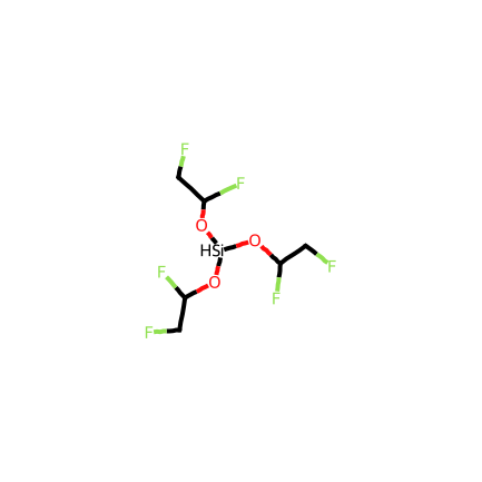 FCC(F)O[SiH](OC(F)CF)OC(F)CF